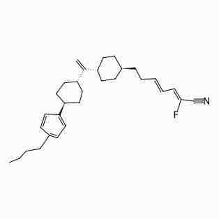 C=C([C@H]1CC[C@H](CC/C=C/C=C(\F)C#N)CC1)[C@H]1CC[C@H](c2ccc(CCCC)cc2)CC1